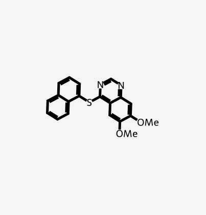 COc1cc2ncnc(Sc3cccc4ccccc34)c2cc1OC